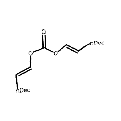 CCCCCCCCCCC=COC(=O)OC=CCCCCCCCCCC